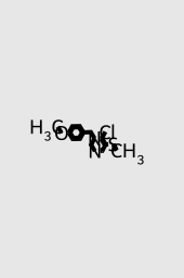 COc1ccc(CN2CN=CC(SC)=C2Cl)cc1